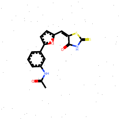 CC(=O)Nc1cccc(-c2ccc(C=C3SC(=S)NC3=O)o2)c1